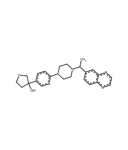 CC(c1ccc2nccnc2c1)N1CCN(c2ccc(C3(O)CCOC3)cn2)CC1